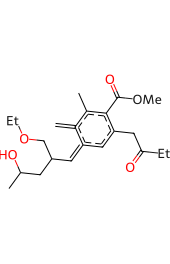 C=c1c(C)c(C(=O)OC)c(CC(=O)CC)c/c1=C/C(COCC)CC(C)O